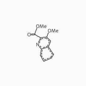 COC(=O)c1nc2ccccc2cc1OC